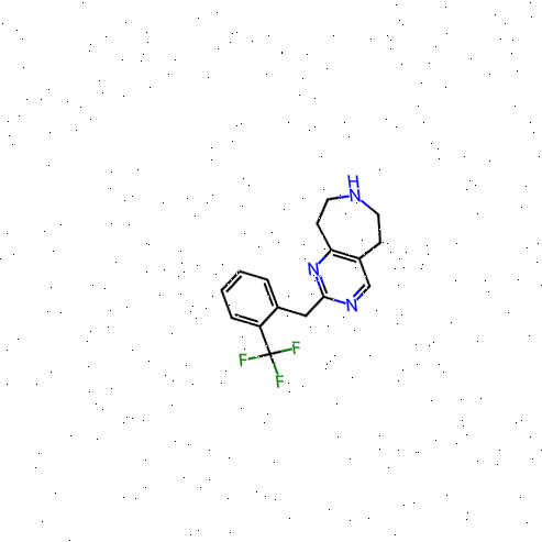 FC(F)(F)c1ccccc1Cc1ncc2c(n1)CCNCC2